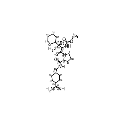 CCCOC(=O)NC(C(=S)N1CCC[C@H]1C(=O)NCC1CCC(C(=N)N)CC1)C(C)(CC)C1CCCCC1